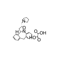 O=C(O)C(=O)O.c1ccc2c(c1)Cc1ccccc1N1O[C@@H](CN3CCCC3)C[C@H]21